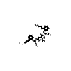 CCCCc1ccccc1OC(C)OC(=O)CC(C(=O)OC(C)Oc1ccccc1CCCC)S(=O)(=O)O